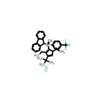 [CH2]=[Zr+2]([C]1=C(CC)C(C(C)(C)C)=CC1CC)([c]1ccc(C(F)(F)F)cc1)[CH]1c2ccccc2-c2ccccc21.[Cl-].[Cl-]